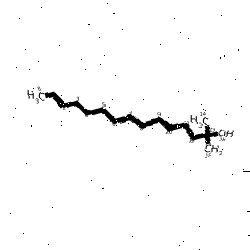 CC=CCCCCCCCCCCC(C)(C)O